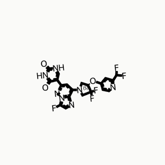 O=c1[nH]cc(-c2cc(N3C[C@H](Oc4ccnc(C(F)F)c4)C(F)(F)C3)c3ncc(F)n3n2)c(=O)[nH]1